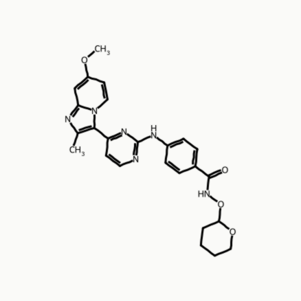 COc1ccn2c(-c3ccnc(Nc4ccc(C(=O)NOC5CCCCO5)cc4)n3)c(C)nc2c1